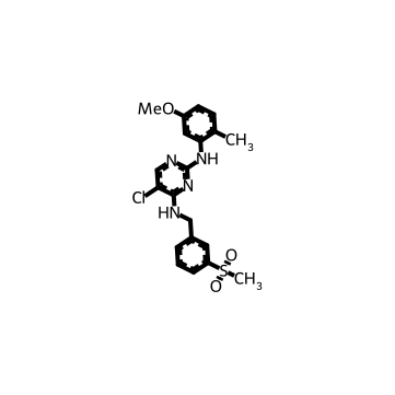 COc1ccc(C)c(Nc2ncc(Cl)c(NCc3cccc(S(C)(=O)=O)c3)n2)c1